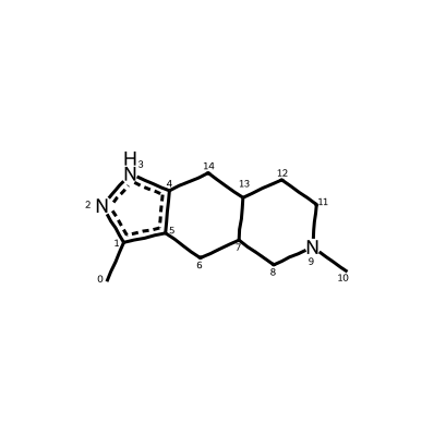 Cc1n[nH]c2c1CC1CN(C)CCC1C2